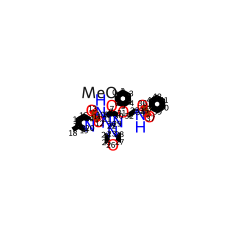 COc1ccccc1Oc1c(NS(=O)(=O)c2ccc(C)cn2)nc(N2CCOCC2)nc1OCCNS(=O)(=O)c1ccccc1